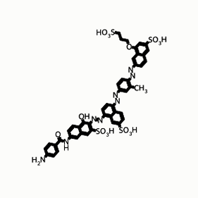 Cc1cc(N=Nc2ccc(N=Nc3c(S(=O)(=O)O)cc4cc(NC(=O)c5ccc(N)cc5)ccc4c3O)c3cc(S(=O)(=O)O)ccc23)ccc1N=Nc1ccc2cc(S(=O)(=O)O)cc(OCCCS(=O)(=O)O)c2c1